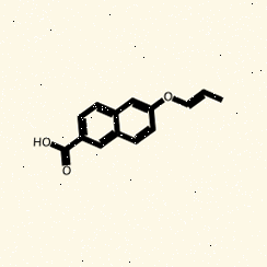 CC=COc1ccc2cc(C(=O)O)ccc2c1